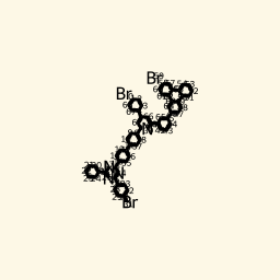 Brc1ccc(-c2cc(-c3ccc(-c4ccc(-c5nc(-c6ccccc6)nc(-c6ccc(Br)cc6)n5)cc4)cc3)nc(-c3cccc(-c4ccc5c6ccccc6c6cc(Br)ccc6c5c4)c3)c2)cc1